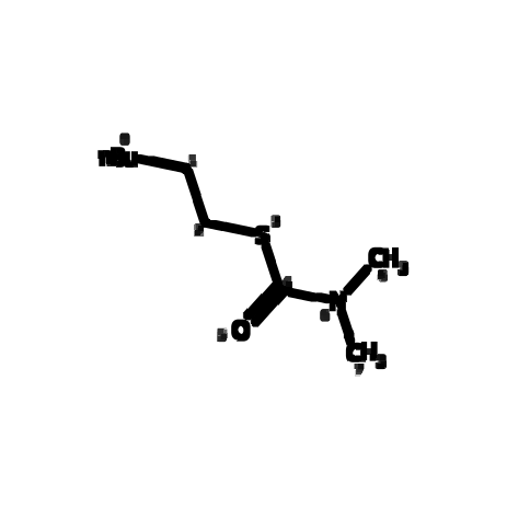 CCCCCCSC(=O)N(C)C